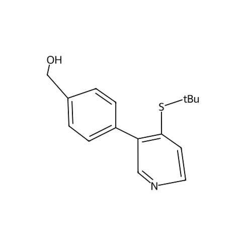 CC(C)(C)Sc1ccncc1-c1ccc(CO)cc1